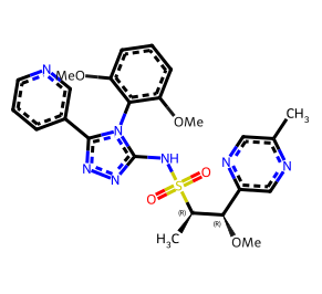 COc1cccc(OC)c1-n1c(NS(=O)(=O)[C@H](C)[C@H](OC)c2cnc(C)cn2)nnc1-c1cccnc1